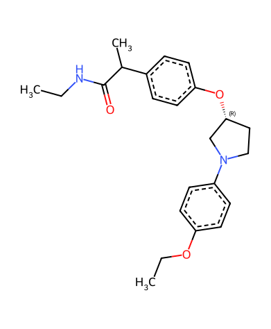 CCNC(=O)C(C)c1ccc(O[C@@H]2CCN(c3ccc(OCC)cc3)C2)cc1